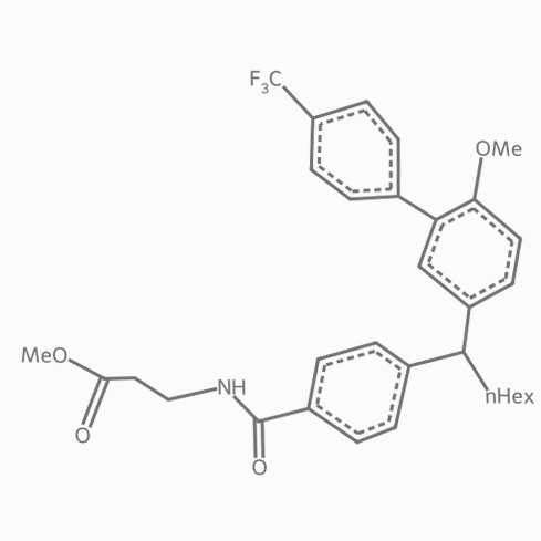 CCCCCCC(c1ccc(C(=O)NCCC(=O)OC)cc1)c1ccc(OC)c(-c2ccc(C(F)(F)F)cc2)c1